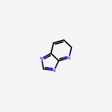 [C]1=CCN=C2N=CN=C12